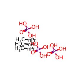 CCCC.CCCC.CCCC.O=P(O)(O)O.O=P(O)(O)O.O=P(O)(O)O